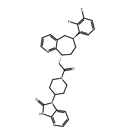 O=C(C[C@H]1CC[C@H](c2cccc(F)c2F)Cc2cccnc21)N1CCC(n2c(=O)[nH]c3ncccc32)CC1